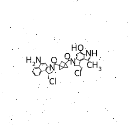 Cc1c[nH]c2c(O)cc3c(c12)C(CCl)CN3C(=O)C12CC3(C(=O)N4C[C@@H](CCl)c5c4cc(N)c4ccccc54)CC31C2